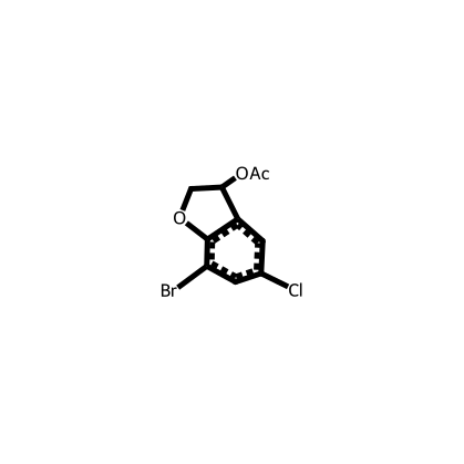 CC(=O)OC1COc2c(Br)cc(Cl)cc21